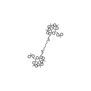 CC(=O)OC[C@H]1O[C@@H](OCCSCCCCCCSCCO[C@@H]2O[C@H](COC(C)=O)[C@H](OC(C)=O)[C@H](OC(C)=O)[C@H]2OC(C)=O)[C@H](OC(C)=O)[C@@H](OC(C)=O)[C@H]1OC(C)=O